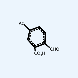 CC(=O)c1ccc(C=O)c(C(=O)O)c1